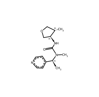 C[C@H]1COC[C@@H]1NC(=O)N(C)[C@@H](C)c1ccncc1